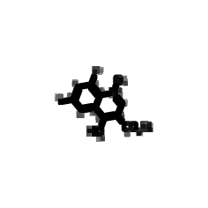 CCOC(=O)c1c[n+]([O-])c2c(F)cc(C)cc2c1O